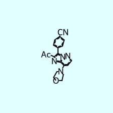 CC(=O)c1nc2c(N3CCOCC3)ccnn2c1-c1ccc(C#N)cc1